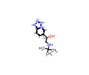 CC(C)(C)NC[C@H](O)c1ccc2nnnn2c1